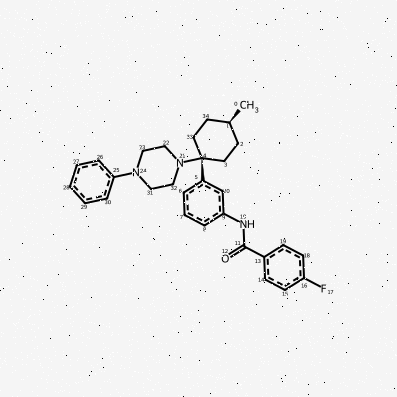 C[C@H]1CC[C@](c2cccc(NC(=O)c3ccc(F)cc3)c2)(N2CCN(c3ccccc3)CC2)CC1